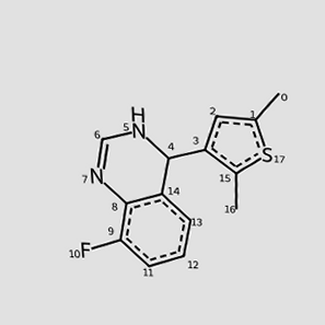 Cc1cc(C2NC=Nc3c(F)cccc32)c(C)s1